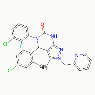 Cc1cc(Cl)ccc1C1c2c(nn(Cc3ccccn3)c2C(C)C)NC(=O)N1c1cccc(Cl)c1F